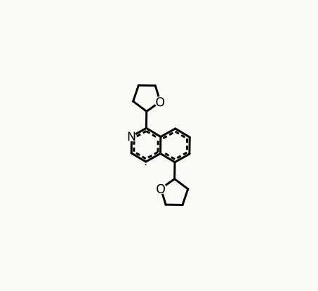 [c]1cnc(C2CCCO2)c2cccc(C3CCCO3)c12